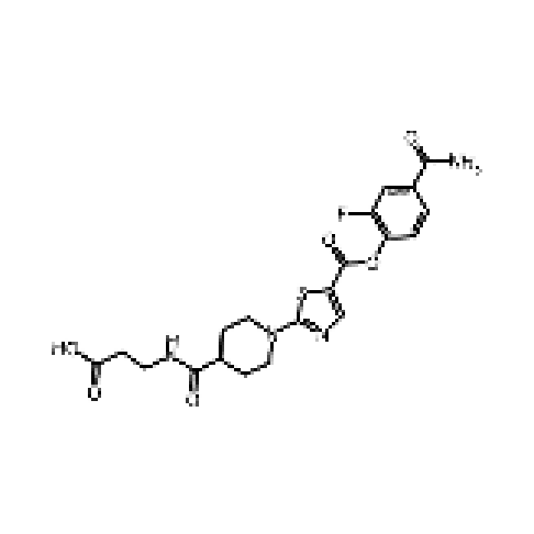 NC(=O)c1ccc(OC(=O)c2cnc(N3CCC(C(=O)NCCC(=O)O)CC3)s2)c(F)c1